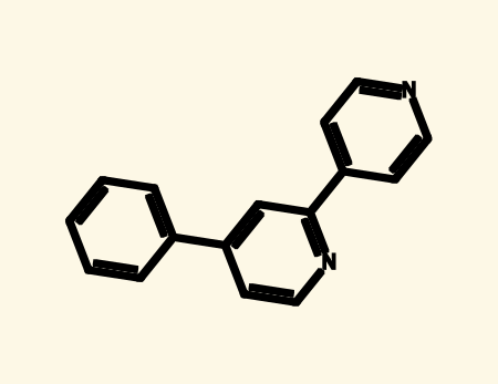 c1ccc(-c2ccnc(-c3ccncc3)c2)cc1